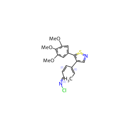 C\C=C(/C=C\C=N\Cl)c1cnsc1-c1cc(OC)c(OC)c(OC)c1